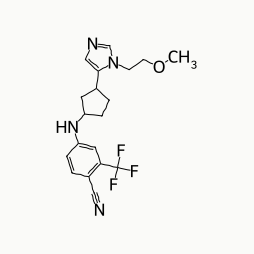 COCCn1cncc1C1CCC(Nc2ccc(C#N)c(C(F)(F)F)c2)C1